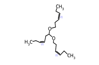 CC/C=C\CCOC(C/C=C\CC)OCC/C=C\CC